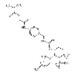 CO[C@H]1[C@H](C2(C)O[C@@H]2CC=C(C)C)[C@]2(CC[C@H]1OC(=O)NCc1ccc(NC(=O)CCC(=O)C(C)C)cc1)CO2